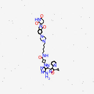 Nc1ncnc2c1c(-c1noc(C3CC3)c1-c1ccccn1)nn2C1CC(C(=O)NCCCCCCN2CCN(c3ccc4c(c3)C(=O)N([C@@H]3CCC(=O)NC3=O)C4)CC2)C1